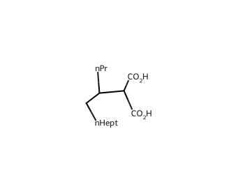 CCCCCCCCC(CCC)C(C(=O)O)C(=O)O